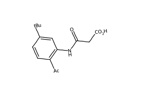 CC(=O)c1ccc(C(C)(C)C)cc1NC(=O)CC(=O)O